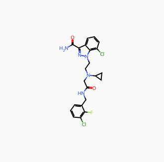 NC(=O)c1nn(CCN(CC(=O)NCc2cccc(Cl)c2F)C2CC2)c2c(Cl)cccc12